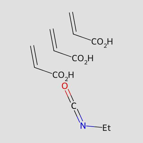 C=CC(=O)O.C=CC(=O)O.C=CC(=O)O.CCN=C=O